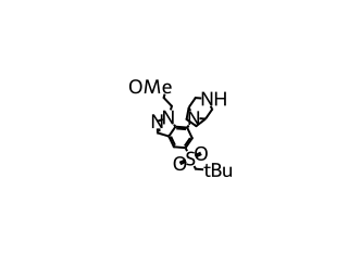 COCCn1ncc2cc(S(=O)(=O)CC(C)(C)C)cc(N3C4CCC3CNC4)c21